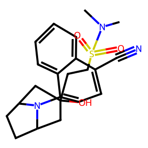 CN(C)S(=O)(=O)CCC1(O)CC2CCC(C1)N2c1ccc(C#N)c2ccccc12